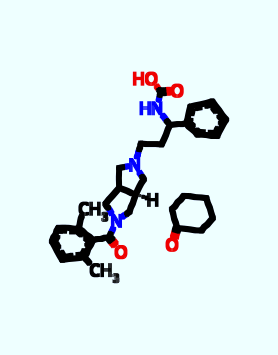 Cc1cccc(C)c1C(=O)N1CC2CN(CCC(NC(=O)O)c3ccccc3)C[C@H]2C1.O=C1CCCCC1